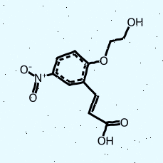 O=C(O)C=Cc1cc([N+](=O)[O-])ccc1OCCO